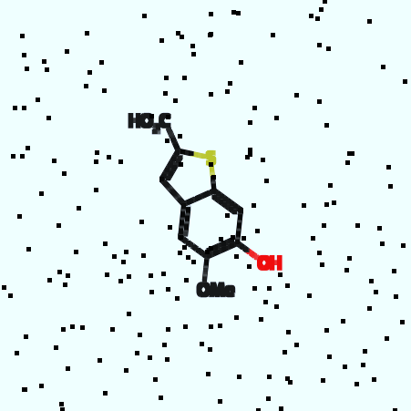 COc1cc2cc(C(=O)O)sc2cc1O